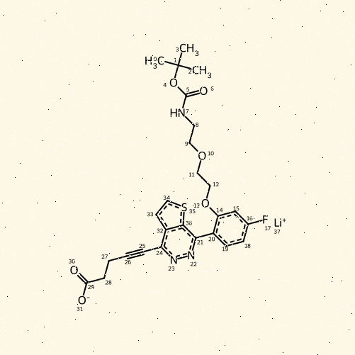 CC(C)(C)OC(=O)NCCOCCOc1cc(F)ccc1-c1nnc(C#CCCC(=O)[O-])c2ccsc12.[Li+]